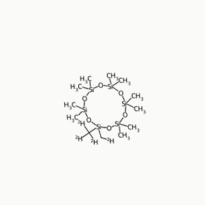 [2H]C[Si]1(C([2H])([2H])[2H])O[Si](C)(C)O[Si](C)(C)O[Si](C)(C)O[Si](C)(C)O[Si](C)(C)O1